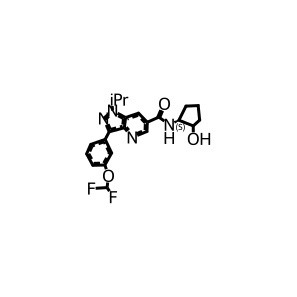 CC(C)n1nc(-c2cccc(OC(F)F)c2)c2ncc(C(=O)N[C@H]3CCCC3O)cc21